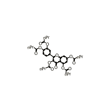 CCCC(=O)Oc1cc(OC(=O)CCC)c2c(=O)c(OC(=O)CCC)c(-c3ccc(OC(=O)CCC)c(OC(=O)CCC)c3)oc2c1